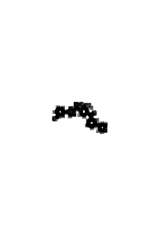 CC1(C)CN(C(=O)c2cccc(-c3ccncc3)c2)CCN1C(=O)c1ncn(-c2cccc(Cl)c2)n1